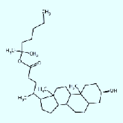 CCCCCC(C)(C)OC(=O)CCC(C)C1CCC2C3CCC4C[C@H](O)CCC4(C)C3CCC12C